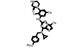 COc1ccc(CN(c2nc(Nc3cc(C#N)cc(N4CCNCC4=O)c3Cl)nn3c(C#N)cnc23)C2CC2)cc1